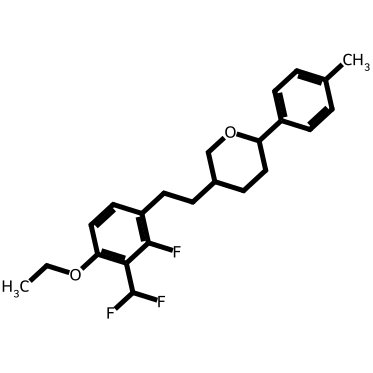 CCOc1ccc(CCC2CCC(c3ccc(C)cc3)OC2)c(F)c1C(F)F